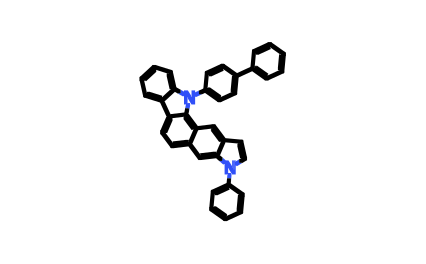 c1ccc(-c2ccc(-n3c4ccccc4c4ccc5cc6c(ccn6-c6ccccc6)cc5c43)cc2)cc1